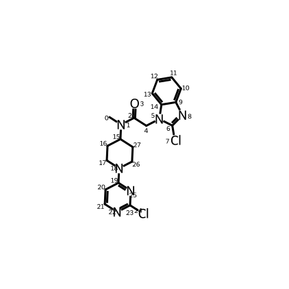 CN(C(=O)Cn1c(Cl)nc2ccccc21)C1CCN(c2ccnc(Cl)n2)CC1